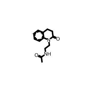 CC(=O)NCCN1C(=O)CCc2c[c]ccc21